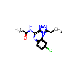 CCc1nnc2c(NC(C)=O)nc3ccc(Cl)cc3n12